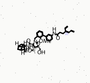 C=C/C=C(\C=C)CCC(=O)Nc1cccc(-c2cccc(CN3O[C@@H](CO)[C@H]([C@H](C)O)[C@H]3C(=O)N[C@H]3C[C@H]4C[C@@H]([C@@H]3C)C4(C)C)c2OC)c1